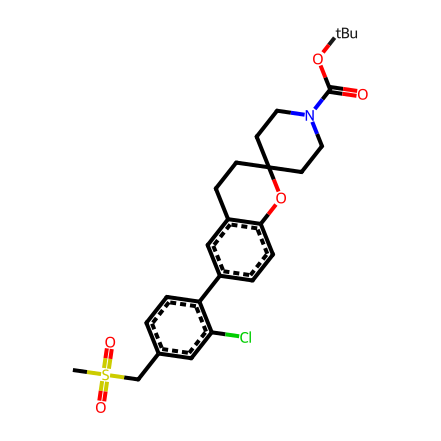 CC(C)(C)OC(=O)N1CCC2(CCc3cc(-c4ccc(CS(C)(=O)=O)cc4Cl)ccc3O2)CC1